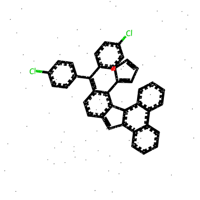 Clc1ccc(C(c2ccc(Cl)cc2)=c2ccc3c(c2C2=CC=CC2)-c2c(c4ccccc4c4ccccc24)[C]=3)cc1